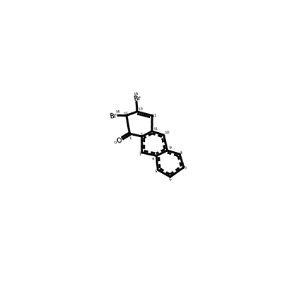 O=C1c2cc3ccccc3cc2C=C(Br)C1Br